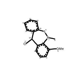 COc1cccc2c1N(C)Sc1ccccc1C2Cl